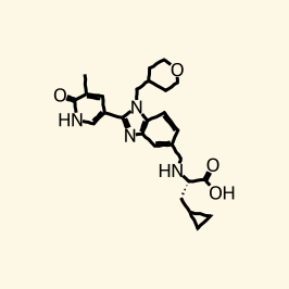 Cc1cc(-c2nc3cc(CN[C@@H](CC4CC4)C(=O)O)ccc3n2CC2CCOCC2)c[nH]c1=O